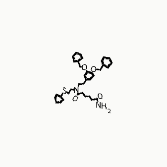 NC(=O)CCCCC(=O)N(CCSc1ccccc1)CCc1ccc(OCc2ccccc2)c(OCc2ccccc2)c1